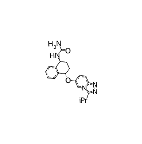 CC(C)c1nnc2ccc(O[C@H]3CC[C@H](NC(N)=O)c4ccccc43)cn12